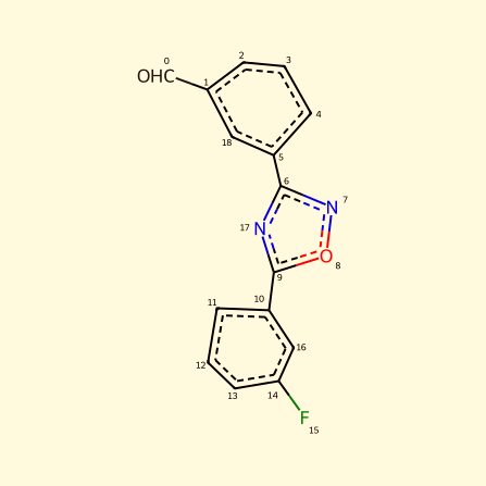 O=Cc1cccc(-c2noc(-c3cccc(F)c3)n2)c1